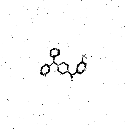 Nc1cncc(C(=O)N2CCN(C(c3ccccc3)c3cccnc3)CC2)c1